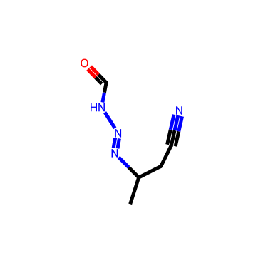 CC(CC#N)N=NNC=O